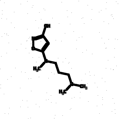 CN(C)CCCN(C)c1cc(O)no1